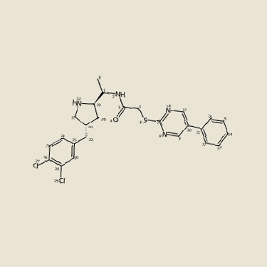 CC(NC(=O)CSc1ncc(-c2ccccc2)cn1)[C@H]1C[C@H](Cc2ccc(Cl)c(Cl)c2)CN1